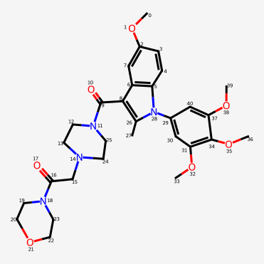 COc1ccc2c(c1)c(C(=O)N1CCN(CC(=O)N3CCOCC3)CC1)c(C)n2-c1cc(OC)c(OC)c(OC)c1